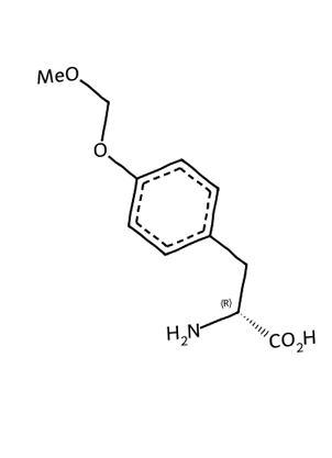 COCOc1ccc(C[C@@H](N)C(=O)O)cc1